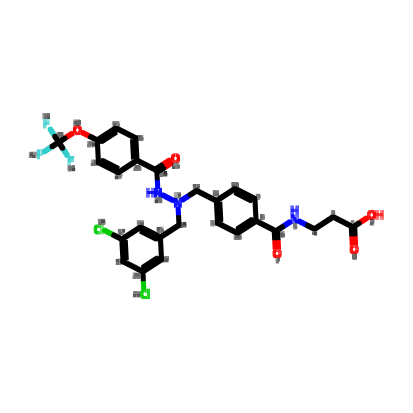 O=C(O)CCNC(=O)c1ccc(CN(Cc2cc(Cl)cc(Cl)c2)NC(=O)c2ccc(OC(F)(F)F)cc2)cc1